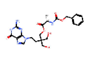 CC(C)[C@H](NC(=O)OCc1ccccc1)C(=O)OCC(CO)(CO)CCn1cnc2c(=O)[nH]c(N)nc21